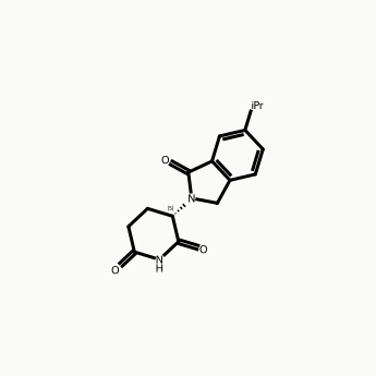 CC(C)c1ccc2c(c1)C(=O)N([C@H]1CCC(=O)NC1=O)C2